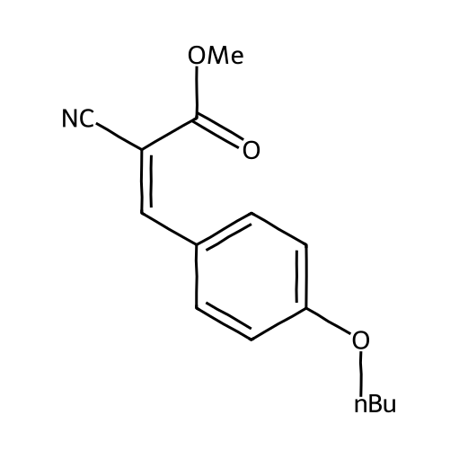 CCCCOc1ccc(C=C(C#N)C(=O)OC)cc1